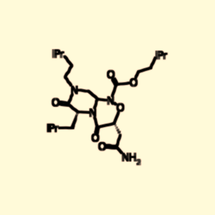 CC(C)CCOC(=O)N1O[C@H](CC(N)=O)C(=O)N2C1CN(CCC(C)C)C(=O)[C@@H]2CC(C)C